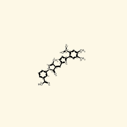 CC1=NN(c2cccc(C(=O)O)c2)C(=O)/C1=C/c1ccc(-c2cc(C)c(C)cc2[N+](=O)[O-])o1